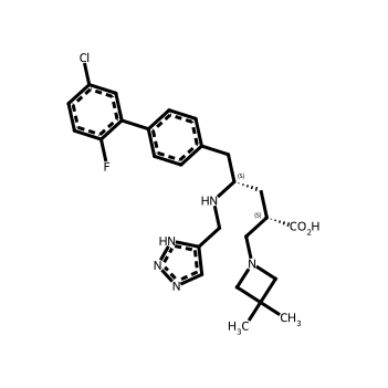 CC1(C)CN(C[C@H](C[C@@H](Cc2ccc(-c3cc(Cl)ccc3F)cc2)NCc2cnn[nH]2)C(=O)O)C1